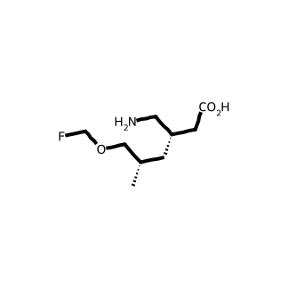 C[C@H](COCF)C[C@H](CN)CC(=O)O